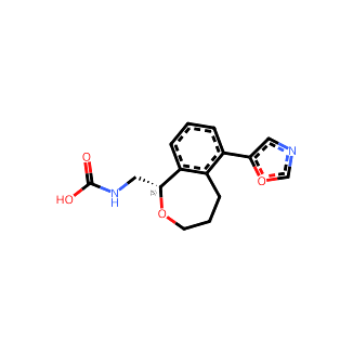 O=C(O)NC[C@H]1OCCCc2c(-c3cnco3)cccc21